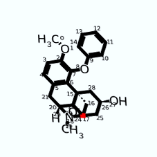 COc1ccc2c(c1Oc1ccccc1)[C@]13CCN(C)[C@H](C2)[C@]1(O)CC[C@H](O)C3